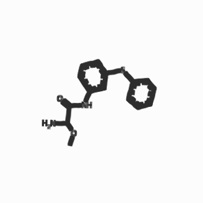 COC(N)C(=O)Nc1cccc(Sc2ccccc2)c1